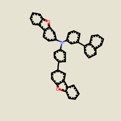 c1cc(-c2cccc3ccccc23)cc(N(c2ccc(-c3ccc4oc5ccccc5c4c3)cc2)c2ccc3c(c2)oc2ccccc23)c1